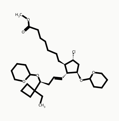 CCC1([C@H](C/C=C/[C@@H]2[C@@H](CCCCCCC(=O)OC)[C@H](Cl)C[C@H]2OC2CCCCO2)OC2CCCCO2)CCC1